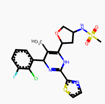 CS(=O)(=O)NC1COC(C2=C(C(=O)O)C(c3cccc(F)c3Cl)N=C(c3nccs3)N2)C1